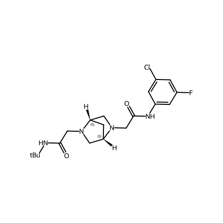 CC(C)(C)NC(=O)CN1C[C@@H]2C[C@H]1CN2CC(=O)Nc1cc(F)cc(Cl)c1